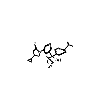 CC(C)c1ccc(C(O)(c2cncc(N3CC(C4CC4)CC3=O)c2)C2(C)CN(C)C2)cc1